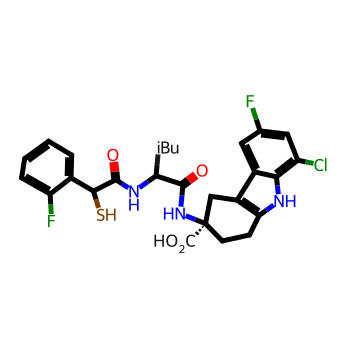 CCC(C)C(NC(=O)C(S)c1ccccc1F)C(=O)N[C@]1(C(=O)O)CCc2[nH]c3c(Cl)cc(F)cc3c2C1